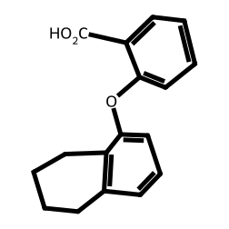 O=C(O)c1ccccc1Oc1cccc2c1CCCC2